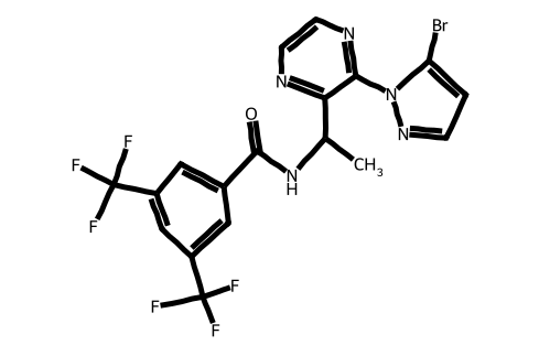 CC(NC(=O)c1cc(C(F)(F)F)cc(C(F)(F)F)c1)c1nccnc1-n1nccc1Br